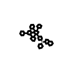 c1ccc(-c2ccc3c(c2)c2ccccc2c2c(-c4ccc(N(c5ccccc5)c5ccc6ccccc6c5)cc4)cc(-c4ccccc4)c(-c4ccccc4)c32)cc1